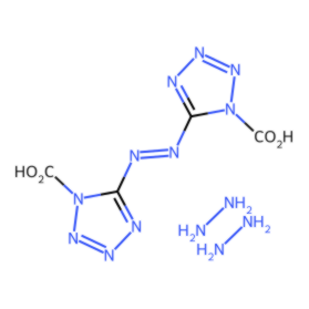 NN.NN.O=C(O)n1nnnc1N=Nc1nnnn1C(=O)O